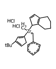 CC(C)(C)C1=CC[C]([Zr]([CH3])(=[CH]c2ccccc2)[CH]2C=CC3=C2CCCC3)=C1.Cl.Cl